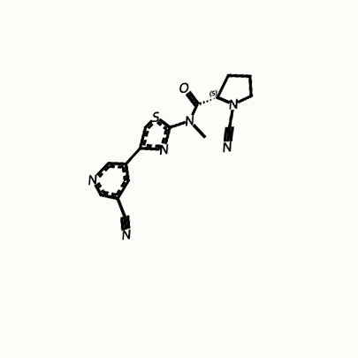 CN(C(=O)[C@@H]1CCCN1C#N)c1nc(-c2cncc(C#N)c2)cs1